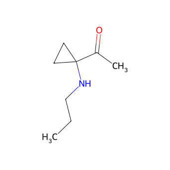 CCCNC1(C(C)=O)CC1